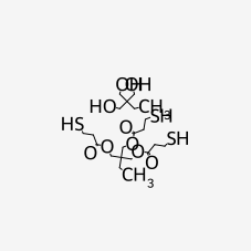 CCC(CO)(CO)CO.CCC(COC(=O)CCS)(COC(=O)CCS)COC(=O)CCS